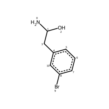 NC(O)Cc1cccc(Br)c1